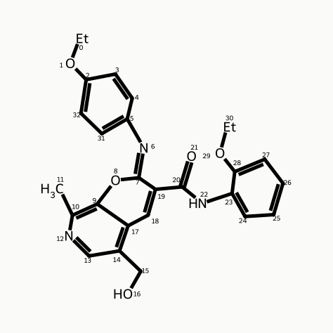 CCOc1ccc(/N=c2\oc3c(C)ncc(CO)c3cc2C(=O)Nc2ccccc2OCC)cc1